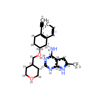 C#CC1=C(/C=C\C)[C@H](Nc2ncnc3[nH]c(C(F)(F)F)cc23)[C@@H](OCC2CCOCC2)CC1